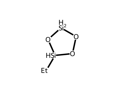 CC[SiH]1OO[SiH2]O1